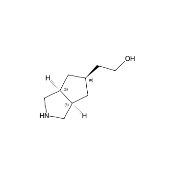 OCC[C@H]1C[C@H]2CNC[C@H]2C1